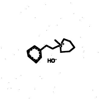 C[N+]1(CCc2ccccc2)CCCCC1.[OH-]